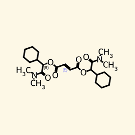 CN(C)C(=O)C(OC(=O)/C=C/C(=O)O[C@@H](C(=O)N(C)C)C1CCCCC1)C1CCCCC1